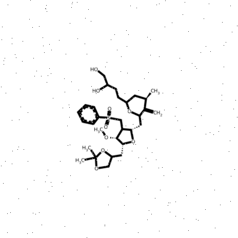 C=C1C(C[C@@H]2O[C@H](CC3COC(C)(C)O3)[C@H](OC)C2CS(=O)(=O)c2ccccc2)OC(CCC(O)CO)C[C@H]1C